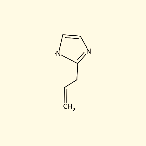 C=CCC1=NC=C[N]1